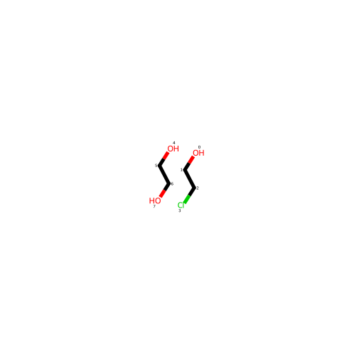 OCCCl.OCCO